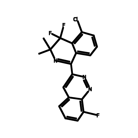 CC1(C)N=C(c2cc3cccc(F)c3nn2)c2cccc(Cl)c2C1(F)F